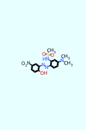 CN(C)c1ccc(N=Nc2cc([N+](=O)[O-])ccc2O)c(NS(C)(=O)=O)c1